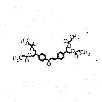 C=CC(=O)OCC(COC(=O)C=C)c1ccc(/C=C/C(=O)c2ccc(C(COC(=O)C=C)COC(=O)C=C)cc2)cc1